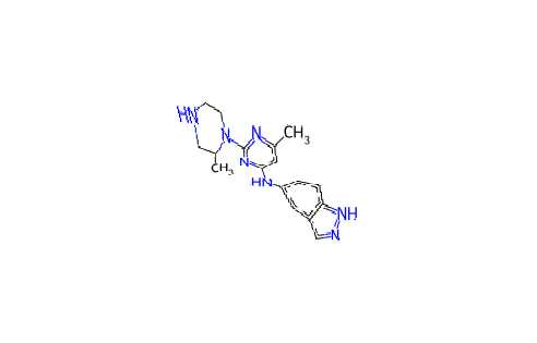 Cc1cc(Nc2ccc3[nH]ncc3c2)nc(N2CCNCC2C)n1